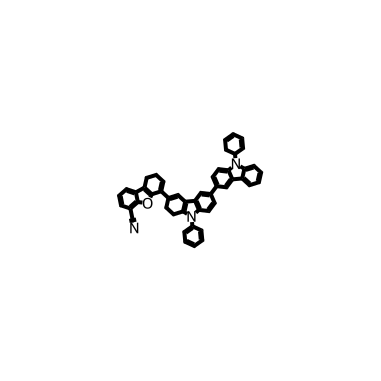 N#Cc1cccc2c3c(oc12)C(C1=Cc2c(n(-c4ccccc4)c4ccc(-c5ccc6c(c5)c5ccccc5n6C5C=CC=CC5)cc24)CC1)=CCC3